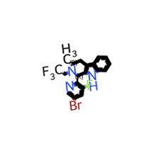 C[C@@H]1Cc2c([nH]c3ccccc23)[C@@H](c2ncc(Br)cc2F)N1CC(F)(F)F